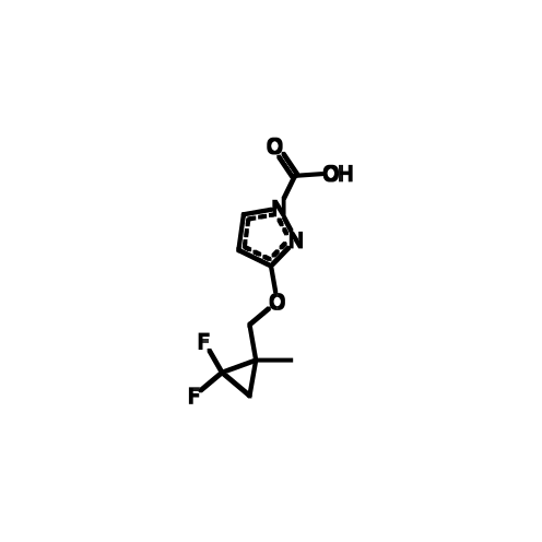 CC1(COc2ccn(C(=O)O)n2)CC1(F)F